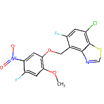 COc1cc(F)c([N+](=O)[O-])cc1OCc1c(F)cc(Cl)c2scnc12